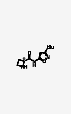 CC(C)(C)c1cc(NC(=O)[C@@H]2CCN2)on1